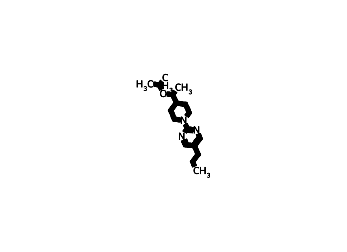 CCCc1cnc(N2CCC(C(C)OC(C)C)CC2)nc1